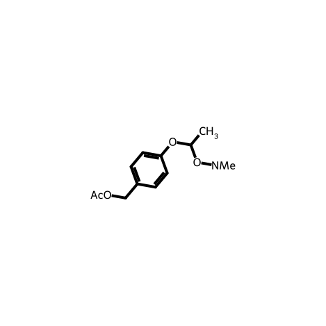 CNOC(C)Oc1ccc(COC(C)=O)cc1